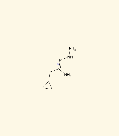 NN/N=C(\N)CC1CC1